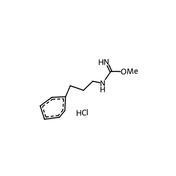 COC(=N)NCCCc1ccccc1.Cl